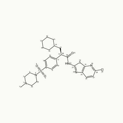 CN1CCN(S(=O)(=O)c2ccc([C@@H](CC3CCCCC3)C(=O)Nc3nc4ccc(Cl)nc4s3)cc2)CC1